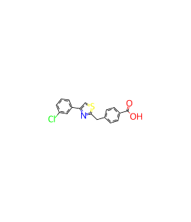 O=C(O)c1ccc(Cc2nc(-c3cccc(Cl)c3)cs2)cc1